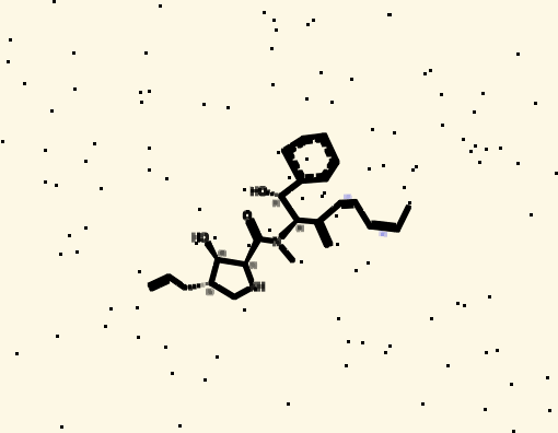 C=CC[C@H]1CN[C@H](C(=O)N(C)[C@H](C(=C)/C=C\C=C/C)[C@H](O)c2ccccc2)[C@@H]1O